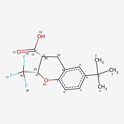 CC(C)(C)c1ccc2c(c1)C[C@@H](C(=O)O)[C@@H](C(F)(F)F)O2